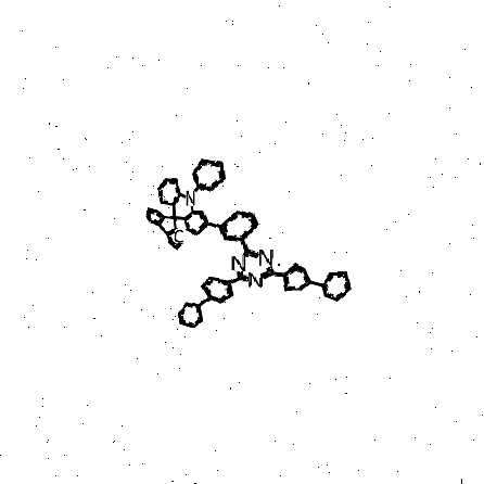 c1ccc(-c2ccc(-c3nc(-c4ccc(-c5ccccc5)cc4)nc(-c4cccc(-c5ccc6c(c5)N(c5ccccc5)c5ccccc5C65c6ccccc6-c6ccccc65)c4)n3)cc2)cc1